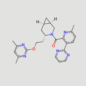 Cc1cc(C)nc(OCC[C@@H]2C[C@H]3C[C@H]3CN2C(=O)c2nc(C)ccc2-c2ncccn2)n1